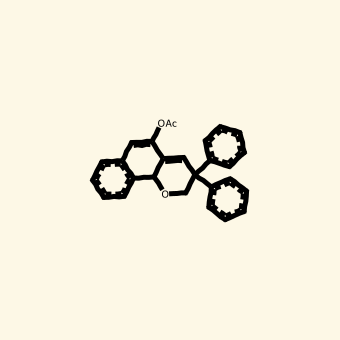 CC(=O)OC1=Cc2ccccc2C2OCC(c3ccccc3)(c3ccccc3)C=C12